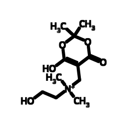 CC1(C)OC(=O)C(C[N+](C)(C)CCO)=C(O)O1